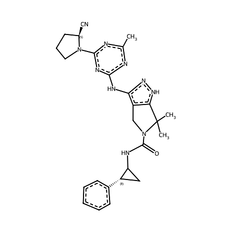 Cc1nc(Nc2n[nH]c3c2CN(C(=O)NC2C[C@@H]2c2ccccc2)C3(C)C)nc(N2CCC[C@H]2C#N)n1